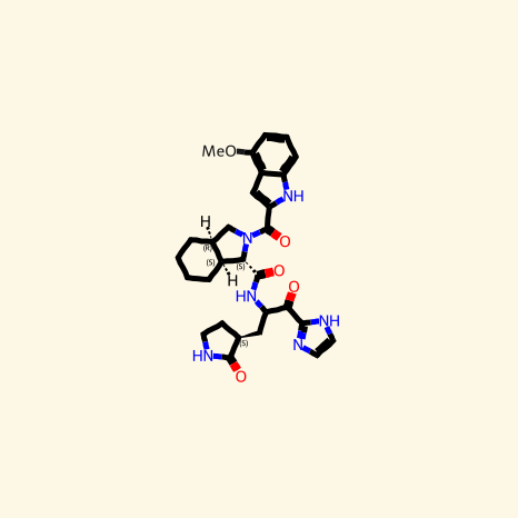 COc1cccc2[nH]c(C(=O)N3C[C@@H]4CCCC[C@@H]4[C@H]3C(=O)NC(C[C@@H]3CCNC3=O)C(=O)c3ncc[nH]3)cc12